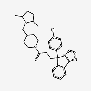 CC1CCC(C)N1CC1CCN(C(=O)CCC2(c3ccc(Cl)cc3)c3ccccc3-c3nccn32)CC1